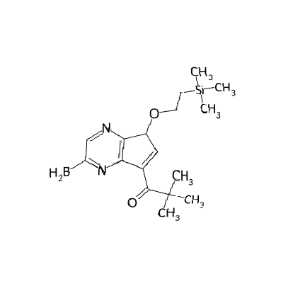 Bc1cnc2c(n1)C(C(=O)C(C)(C)C)=CC2OCC[Si](C)(C)C